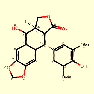 COC1=C(O)C(OC)CC([C@@H]2C3C=C4OCOC4=CC3C(O)[C@H]3COC(=O)C32)=C1